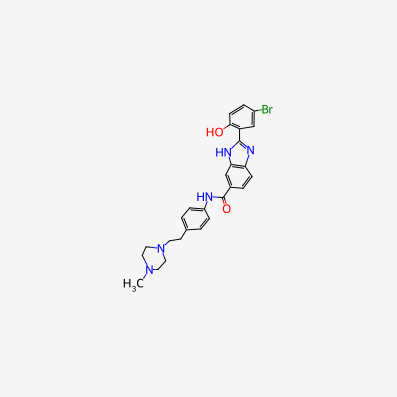 CN1CCN(CCc2ccc(NC(=O)c3ccc4nc(-c5cc(Br)ccc5O)[nH]c4c3)cc2)CC1